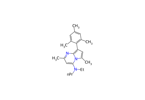 CCCN(CC)c1cc(C)nc2c(-c3c(C)cc(C)cc3C)cc(C)n12